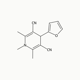 CC1=C(C#N)C(c2ccco2)C(C#N)=C(C)N1C